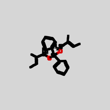 CC=C(C)[SiH2]O[Si](O[SiH2]C(C)=CC)(c1ccccc1)c1ccccc1